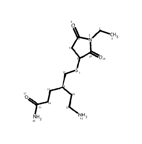 CCN1C(=O)CC(SC[C@@H](CCN)CCC(N)=O)C1=O